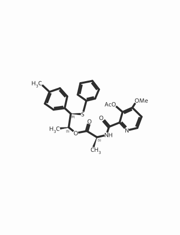 COc1ccnc(C(=O)N[C@@H](C)C(=O)O[C@@H](C)[C@H](Sc2ccccc2)c2ccc(C)cc2)c1OC(C)=O